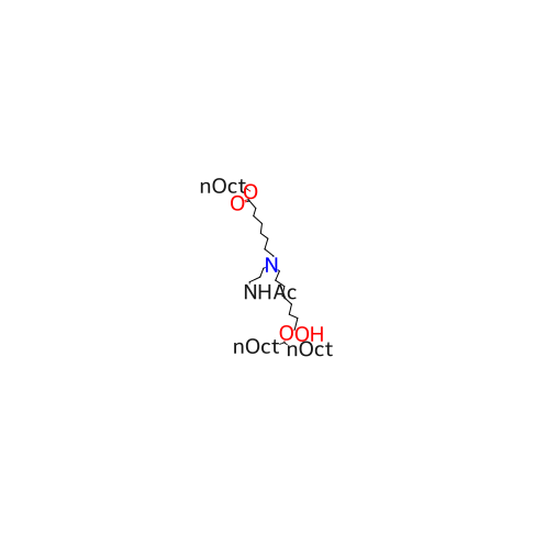 CCCCCCCCOC(=O)CCCCCCCN(CCCCCCCC(O)OC(CCCCCCCC)CCCCCCCC)CCCNC(C)=O